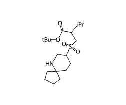 CC(C)C(CS(=O)(=O)C1CCC2(CCCC2)NC1)C(=O)OC(C)(C)C